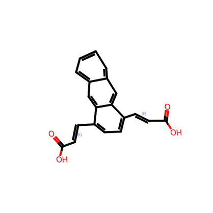 O=C(O)/C=C/c1ccc(/C=C/C(=O)O)c2cc3ccccc3cc12